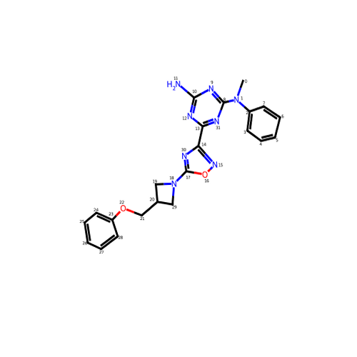 CN(c1ccccc1)c1nc(N)nc(-c2noc(N3CC(COc4ccccc4)C3)n2)n1